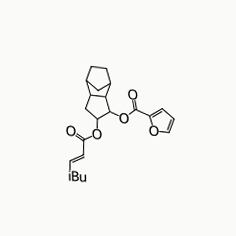 CCC(C)/C=C/C(=O)OC1CC2C3CCC(C3)C2C1OC(=O)c1ccco1